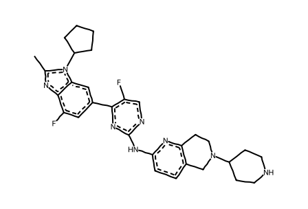 Cc1nc2c(F)cc(-c3nc(Nc4ccc5c(n4)CCN(C4CCNCC4)C5)ncc3F)cc2n1C1CCCC1